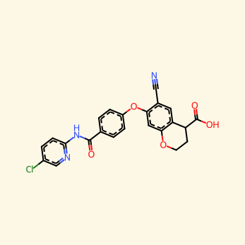 N#Cc1cc2c(cc1Oc1ccc(C(=O)Nc3ccc(Cl)cn3)cc1)OCCC2C(=O)O